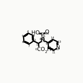 O=C(O)C(c1ccccc1)N(c1ccncc1)[PH](=O)O